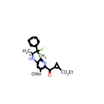 CCOC(=O)C1CC1C(=O)c1ncc(N[C@@H](C)C(C)(F)c2ccccc2)cc1OC